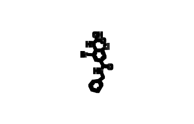 O=C(O)Nc1c(Cl)cc(C(=O)NCc2ccccc2)cc1Br